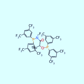 CN(C(=O)C(OP(c1cc(C(F)(F)F)cc(C(F)(F)F)c1)c1cc(C(F)(F)F)cc(C(F)(F)F)c1)C(C)(C)C)P(c1cc(C(F)(F)F)cc(C(F)(F)F)c1)c1cc(C(F)(F)F)cc(C(F)(F)F)c1